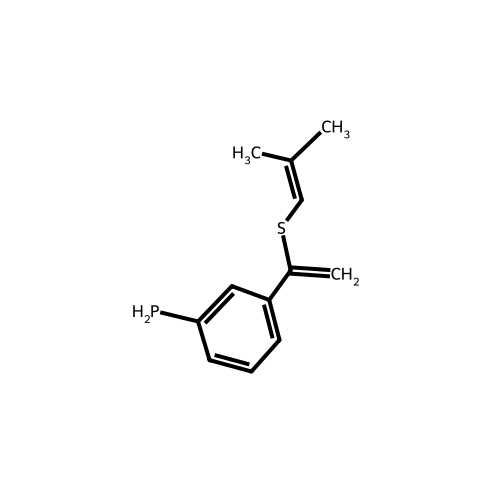 C=C(SC=C(C)C)c1cccc(P)c1